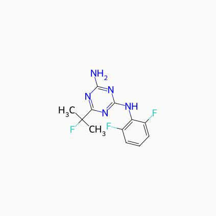 CC(C)(F)c1nc(N)nc(Nc2c(F)cccc2F)n1